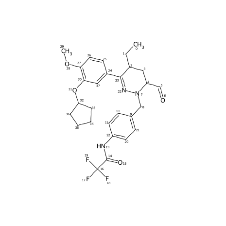 CCC1CC(C=O)N(Cc2ccc(NC(=O)C(F)(F)F)cc2)N=C1c1ccc(OC)c(OC2CCCC2)c1